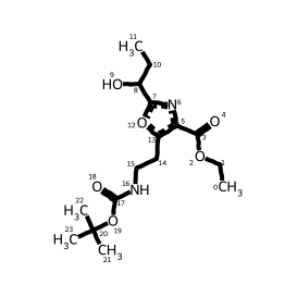 CCOC(=O)c1nc(C(O)CC)oc1CCNC(=O)OC(C)(C)C